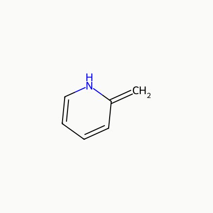 C=C1C=CC=CN1